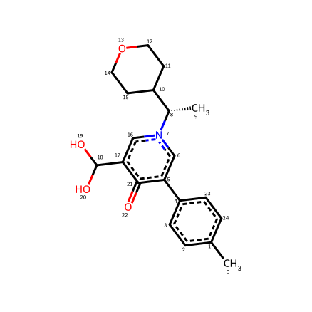 Cc1ccc(-c2cn([C@@H](C)C3CCOCC3)cc(C(O)O)c2=O)cc1